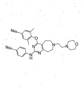 Cc1cc(C#N)cc(C)c1Oc1nc(Nc2ccc(C#N)cc2)nc2c1CCN(CCN1CCOCC1)CC2